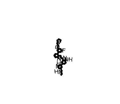 CCNCc1cncc(-c2ccc3[nH]nc(-c4cc5c(-c6cc(F)cc(OCCN7CCCC7)c6)cccc5[nH]4)c3c2)c1